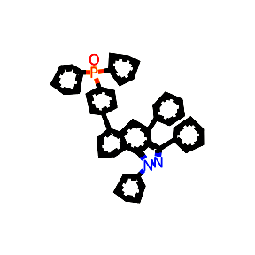 O=P(c1ccccc1)(c1ccccc1)c1ccc(-c2cccc3c2cc(-c2ccccc2)c2c(-c4ccccc4)nn(-c4ccccc4)c23)cc1